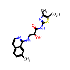 Cc1ccc2ccnc(NCC(O)C(=O)Nc3nc(C)c(C(=O)O)s3)c2c1